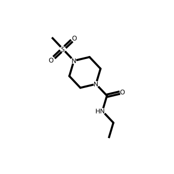 CCNC(=O)N1CCN(S(C)(=O)=O)CC1